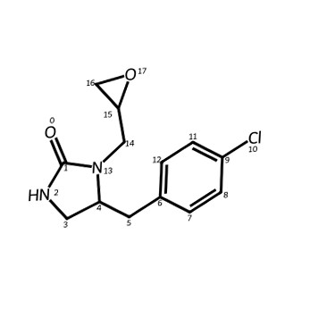 O=C1NCC(Cc2ccc(Cl)cc2)N1CC1CO1